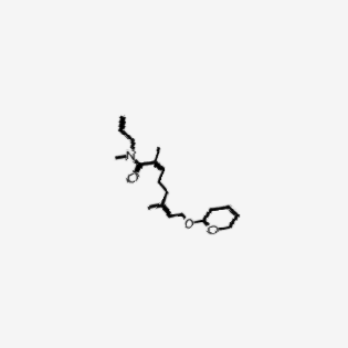 C=CCN(C)C(=O)C(C)=CCCC(C)=CCOC1CCCCO1